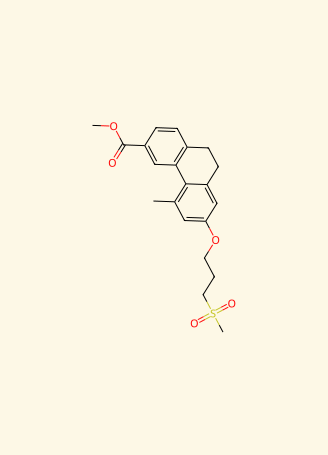 COC(=O)c1ccc2c(c1)-c1c(C)cc(OCCCS(C)(=O)=O)cc1CC2